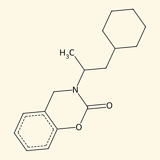 CC(CC1CCCCC1)N1Cc2ccccc2OC1=O